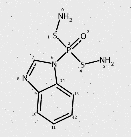 NSP(=O)(SN)n1cnc2ccccc21